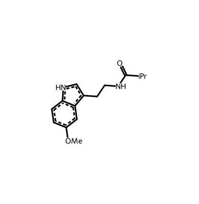 COc1ccc2[nH]cc(CCNC(=O)C(C)C)c2c1